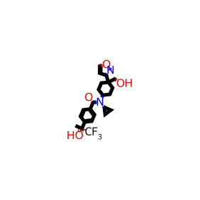 C[C@](O)(c1ccc(C(=O)N(C2CC2)C2CCC(CO)(c3ccon3)CC2)cc1)C(F)(F)F